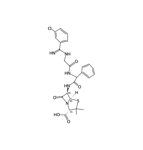 CC1(C)S[C@@H]2[C@H](NC(=O)C(NC(=O)CNC(=N)c3cccc(Cl)c3)c3ccccc3)C(=O)N2[C@H]1C(=O)O